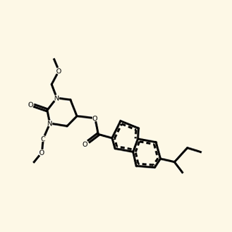 CCC(C)c1ccc2cc(C(=O)OC3CN(COC)C(=O)N(COC)C3)ccc2c1